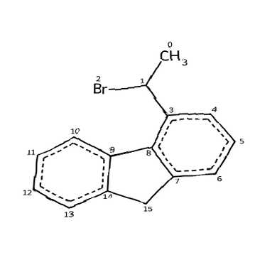 CC(Br)c1cccc2c1-c1ccccc1C2